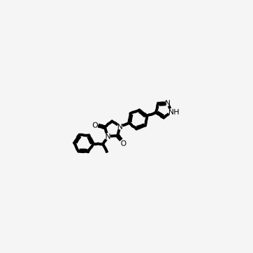 CC(c1ccccc1)N1C(=O)CN(c2ccc(-c3cn[nH]c3)cc2)C1=O